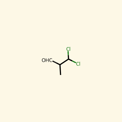 CC(C=O)C(Cl)Cl